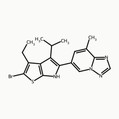 CCc1c(Br)sc2[nH]c(-c3cc(C)c4ncnn4c3)c(C(C)C)c12